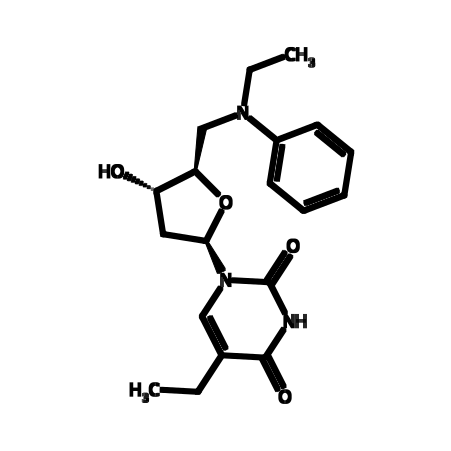 CCc1cn([C@H]2C[C@H](O)[C@@H](CN(CC)c3ccccc3)O2)c(=O)[nH]c1=O